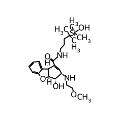 COCCN[C@@H]1C=C(C(=O)NCCCC(C)(C)[Si](C)(C)O)[C@@H]2c3ccccc3O[C@@H]2[C@H]1O